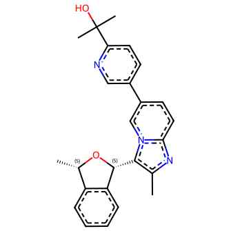 Cc1nc2ccc(-c3ccc(C(C)(C)O)nc3)cn2c1[C@H]1O[C@@H](C)c2ccccc21